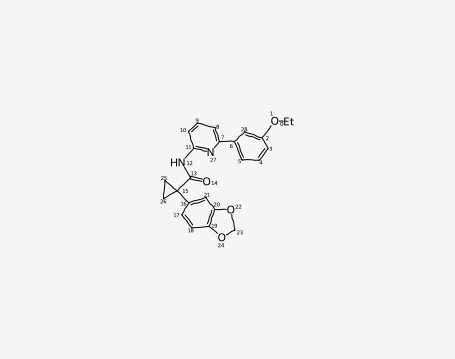 CCOc1cccc(-c2cccc(NC(=O)C3(c4ccc5c(c4)OCO5)CC3)n2)c1